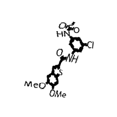 COc1cc2cc(C(=O)Nc3cc(Cl)cc(NS(C)(=O)=O)c3)sc2cc1OC